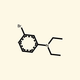 CCN(CC)c1cc[c]c(Br)c1